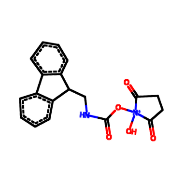 O=C(NCC1c2ccccc2-c2ccccc21)O[N+]1(O)C(=O)CCC1=O